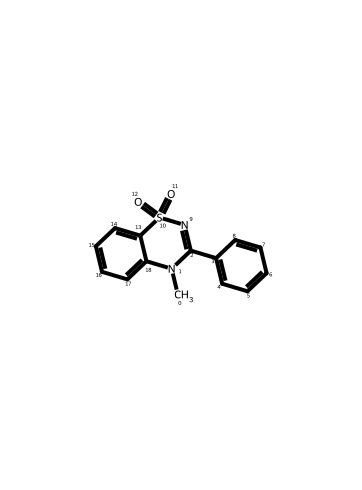 CN1C(c2ccccc2)=NS(=O)(=O)c2ccccc21